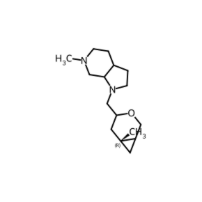 CN1CCC2CCN(CC3C[C@@]4(C)CC4CO3)C2C1